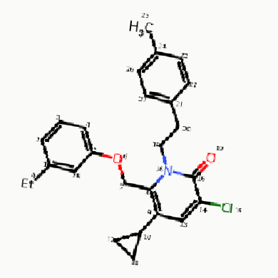 CCc1cccc(OCc2c(C3CC3)cc(Cl)c(=O)n2CCc2ccc(C)cc2)c1